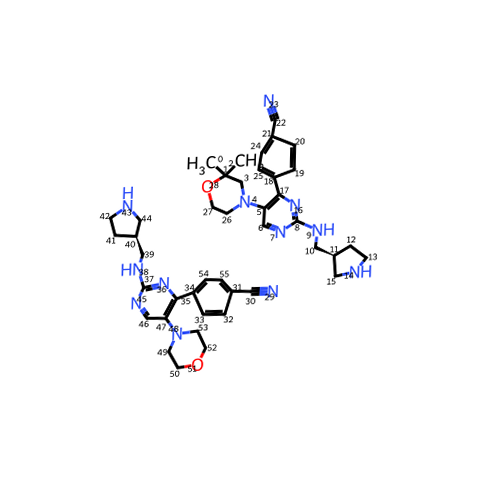 CC1(C)CN(c2cnc(NC[C@H]3CCNC3)nc2-c2ccc(C#N)cc2)CCO1.N#Cc1ccc(-c2nc(NC[C@H]3CCNC3)ncc2N2CCOCC2)cc1